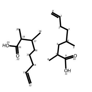 C=CCCC(C)CC(C)C(=O)O.C=CCCCC(C)C(C)C(=O)O